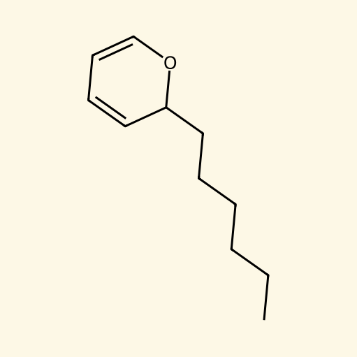 CCCCCCC1C=CC=CO1